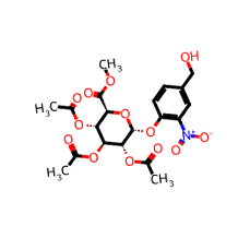 COC(=O)[C@H]1O[C@H](Oc2ccc(CO)cc2[N+](=O)[O-])[C@H](OC(C)=O)[C@@H](OC(C)=O)[C@@H]1OC(C)=O